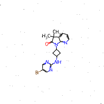 CC1(C)C(=O)N(C2CC(Nc3ncc(Br)cn3)C2)c2ncccc21